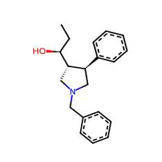 CC[C@H](O)[C@H]1CN(Cc2ccccc2)C[C@@H]1c1ccccc1